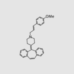 COc1ccc(C=CCN2CCC(=C3c4ccccc4C=Cc4ccccc43)CC2)cc1